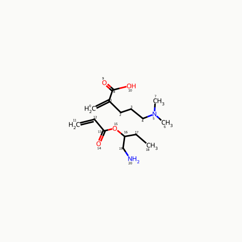 C=C(CCCN(C)C)C(=O)O.C=CC(=O)OC(CC)CN